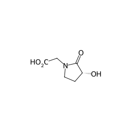 O=C(O)CN1CC[C@@H](O)C1=O